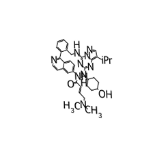 CC(C)c1cnn2c(NCc3ccccc3-c3nccc4cc(NC(=O)/C=C/CN(C)C)ccc34)nc(N[C@H]3CC[C@H](O)CC3)nc12